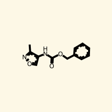 Cc1nocc1NC(=O)OCc1ccccc1